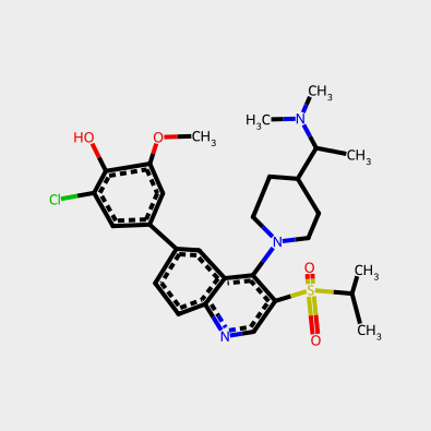 COc1cc(-c2ccc3ncc(S(=O)(=O)C(C)C)c(N4CCC(C(C)N(C)C)CC4)c3c2)cc(Cl)c1O